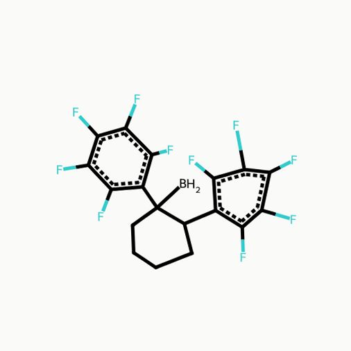 BC1(c2c(F)c(F)c(F)c(F)c2F)CCCCC1c1c(F)c(F)c(F)c(F)c1F